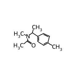 CC(=O)N(C)C(C)c1ccc(C)cc1